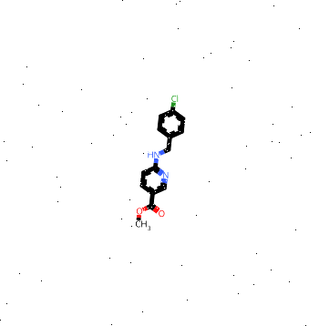 COC(=O)c1ccc(NCc2ccc(Cl)cc2)nc1